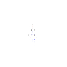 O=S(=O)(c1ccccc1)c1ccc(N2c3ccccc3C3(c4ccccc4N(c4ccccc4)c4ccccc43)c3ccccc32)cc1